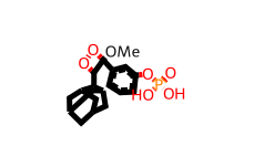 COC1(c2cccc(OP(=O)(O)O)c2)OOC1C1C2CC3CC(C2)CC1C3